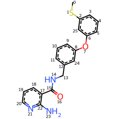 CSc1cccc(Oc2cccc(CNC(=O)c3cccnc3N)c2)c1